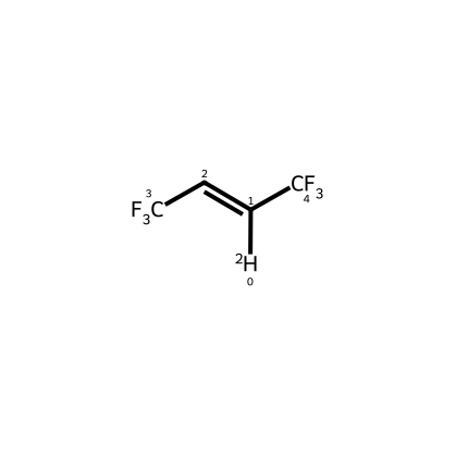 [2H]C(=CC(F)(F)F)C(F)(F)F